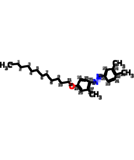 CCCCCCCCCCCCOc1ccc(/N=N/c2ccc(C)c(C)c2)c(C)c1